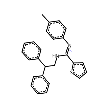 Cc1ccc(/N=C(\NCC(c2ccccc2)c2ccccc2)c2cccs2)cc1